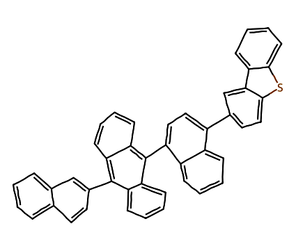 c1ccc2cc(-c3c4ccccc4c(-c4ccc(-c5ccc6sc7ccccc7c6c5)c5ccccc45)c4ccccc34)ccc2c1